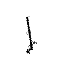 CC(=O)OCCCCCCCCCCOC(=O)CCCCCCCCC(O)COC(=O)CN(C)CCOC(C)=O